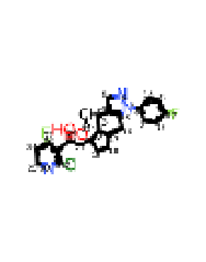 CC[C@]12Cc3cnn(-c4ccc(F)cc4)c3C=C1CC[C@@]2(O)CC(O)c1c(F)ccnc1Cl